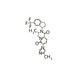 Cc1cn(-c2ccc3n(c2=O)CC(C)N(C2CCc4ccc(C(F)(F)F)cc42)C3=O)cn1